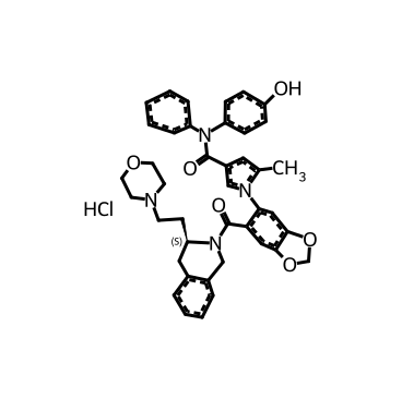 Cc1cc(C(=O)N(c2ccccc2)c2ccc(O)cc2)cn1-c1cc2c(cc1C(=O)N1Cc3ccccc3C[C@H]1CCN1CCOCC1)OCO2.Cl